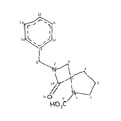 O=C(O)N1CCCC12CN(Cc1ccccc1)C2=O